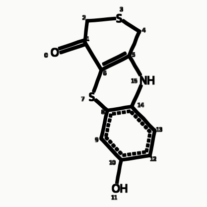 O=C1CSCC2=C1Sc1cc(O)ccc1N2